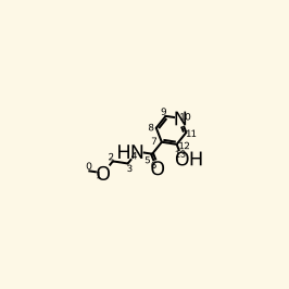 COCCNC(=O)c1ccncc1O